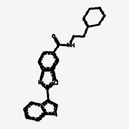 O=C(NCCC1CCCCC1)c1ccc2nc(-c3cnc4ccccn34)oc2c1